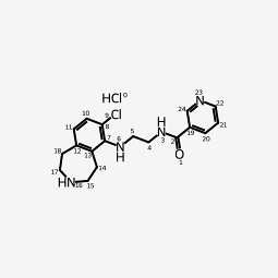 Cl.O=C(NCCNc1c(Cl)ccc2c1CCNCC2)c1cccnc1